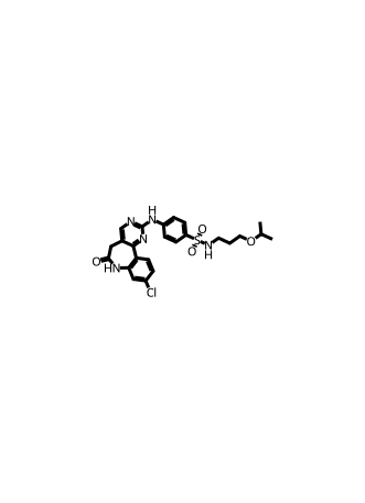 CC(C)OCCCNS(=O)(=O)c1ccc(Nc2ncc3c(n2)-c2ccc(Cl)cc2NC(=O)C3)cc1